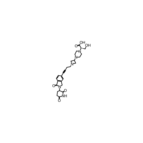 O=C1CCC(N2Cc3cc(C#CCCN4CC(N5CCN([C@H](CO)C(=O)O)CC5)C4)ccc3C2=O)C(=O)N1